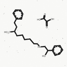 O=C(O)C(=O)O.O=C(O)C(CCCCCCNCC(O)c1ccccc1)CCc1ccccc1